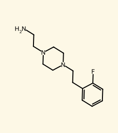 NCCN1CCN(CCc2ccccc2F)CC1